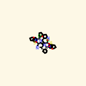 CC(C)c1c2/c(=C(\C#N)c3nc4ccccc4s3)n(B(c3ccccc3)c3ccccc3)c(-c3c(Cl)cccc3Cl)c2/c(=C(\C#N)c2nc3ccccc3s2)n1B(c1ccccc1)c1ccccc1